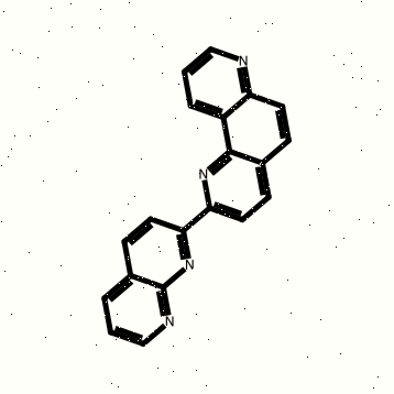 c1cnc2nc(-c3ccc4ccc5ncccc5c4n3)ccc2c1